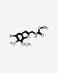 CCOC(=O)c1c(C)c(Br)cc2cc(CNC(=O)OC(C)(C)C)oc12